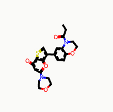 CCC(=O)N1CCOc2ccc(-c3csc4c(=O)cc(N5CCOCC5)oc34)cc21